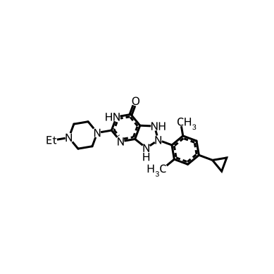 CCN1CCN(c2nc3c(c(=O)[nH]2)NN(c2c(C)cc(C4CC4)cc2C)N3)CC1